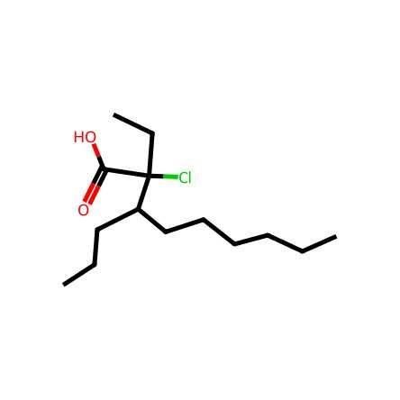 CCCCCCC(CCC)C(Cl)(CC)C(=O)O